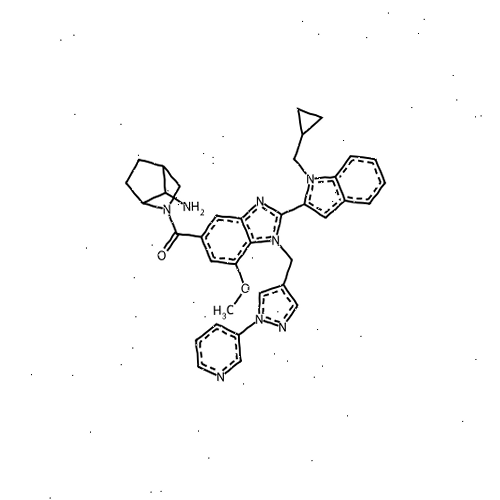 COc1cc(C(=O)N2CC3CCC2C3N)cc2nc(-c3cc4ccccc4n3CC3CC3)n(Cc3cnn(-c4cccnc4)c3)c12